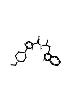 CCN1CCN(c2ncc(C(=O)NC(C)Cc3c[nH]c4ccccc34)o2)CC1